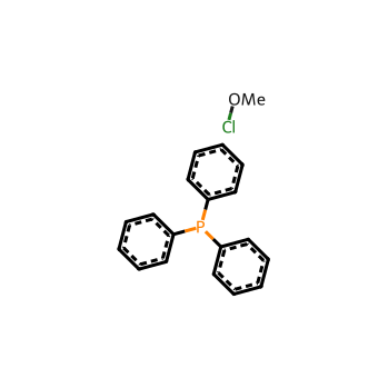 COCl.c1ccc(P(c2ccccc2)c2ccccc2)cc1